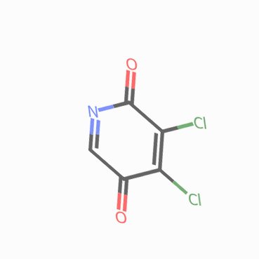 O=C1C=NC(=O)C(Cl)=C1Cl